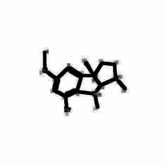 COc1cc(Br)c2c(c1)[C@]1(C)CCN(C)C1N2C